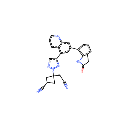 N#CC[C@]1(n2ncc(-c3cc(-c4cccc5c4NC(=O)C5)cc4ncccc34)n2)C[C@H](C#N)C1